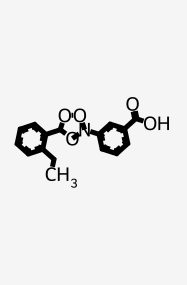 CCc1ccccc1C1OON(c2cccc(C(=O)O)c2)O1